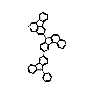 c1ccc(-n2c3ccccc3c3cc(-c4ccc5c(c4)c4c6ccccc6ccc4n5-c4cc5c6c(cncc6c4)-c4ccccc4-5)ccc32)cc1